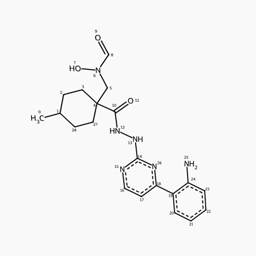 CC1CCC(CN(O)C=O)(C(=O)NNc2nccc(-c3ccccc3N)n2)CC1